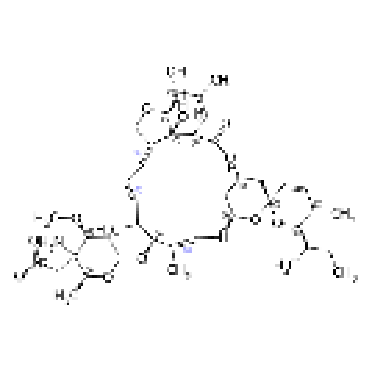 CCC(C)[C@H]1O[C@]2(C=C[C@@H]1C)C[C@@H]1C[C@@H](C/C=C(\C)[C@@H](OC3C[C@H](OC)C(N)(C[N+](=O)[O-])[C@H](C)O3)C(C)/C=C/C=C3\CO[C@@H]4[C@H](O)C(C)=C[C@@H](C(=O)O1)[C@]34O)O2